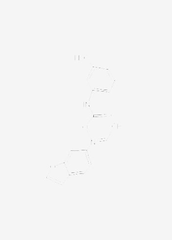 CC=[N+](OC(=O)Nc1cccc(C)c1)c1ccc2ccoc2c1